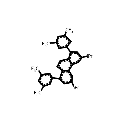 CC(C)c1cc(-c2cc(C(F)(F)F)cc(C(F)(F)F)c2)c2ccc3c(-c4cc(C(F)(F)F)cc(C(F)(F)F)c4)cc(C(C)C)cc3c2c1